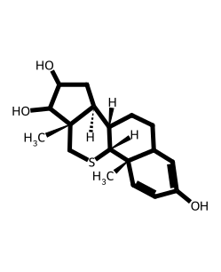 C[C@]12C=CC(O)=CC1CC[C@@H]1[C@H]2SC[C@]2(C)C(O)C(O)C[C@@H]12